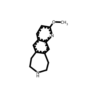 COc1ccc2cc3c(cc2n1)CCNCC3